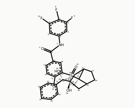 O=C(Nc1cc(F)c(F)c(F)c1)c1ccc(Cl)c(S(=O)(=O)[C@H]2C3CCC2C[C@](O)([C@@H](O)c2ccccc2)C3)c1